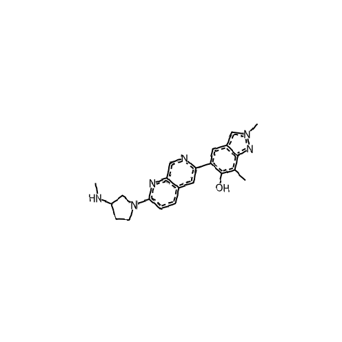 CNC1CCN(c2ccc3cc(-c4cc5cn(C)nc5c(C)c4O)ncc3n2)C1